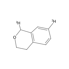 [2H]c1ccc2c(c1)C([2H])OCC2